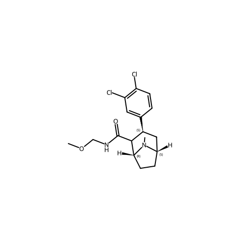 COCNC(=O)C1[C@@H](c2ccc(Cl)c(Cl)c2)C[C@@H]2CC[C@H]1N2C